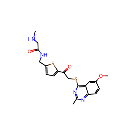 CNCC(=O)NCc1ccc(C(=O)CSc2nc(C)nc3ccc(OC)cc23)s1